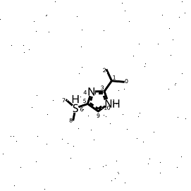 CC(C)c1nc([SH](C)C)c[nH]1